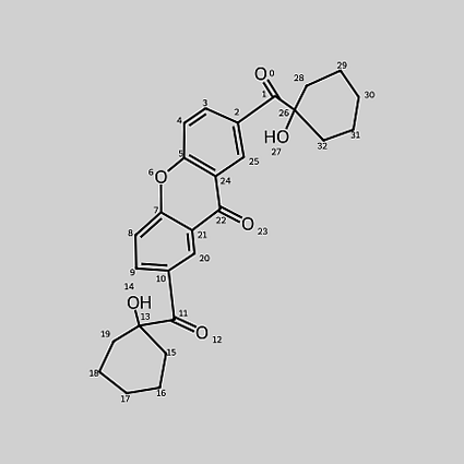 O=C(c1ccc2oc3ccc(C(=O)C4(O)CCCCC4)cc3c(=O)c2c1)C1(O)CCCCC1